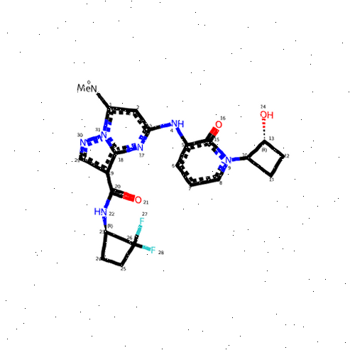 CNc1cc(Nc2cccn(C3CC[C@H]3O)c2=O)nc2c(C(=O)N[C@@H]3CCC3(F)F)cnn12